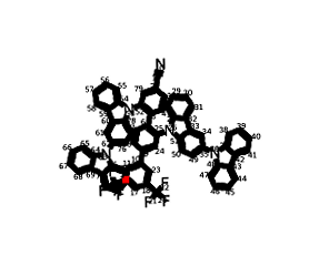 N#Cc1ccc(-c2ccc(-c3cc(C(F)(F)F)cc(C(F)(F)F)c3)cc2-n2c3ccccc3c3cc(-n4c5ccccc5c5ccccc54)ccc32)c(-n2c3ccccc3c3cc(-n4c5ccccc5c5ccccc54)ccc32)c1